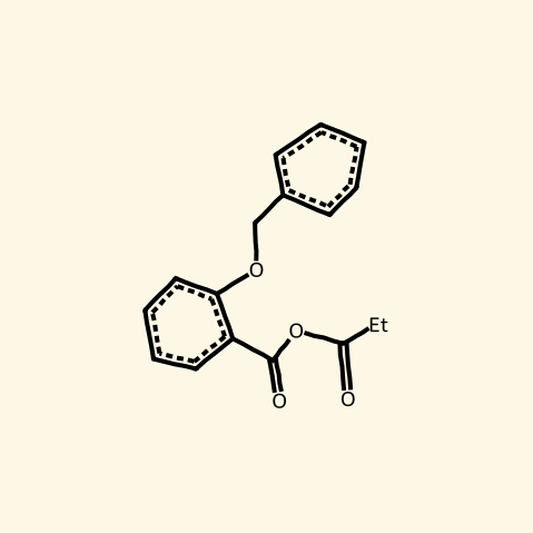 CCC(=O)OC(=O)c1ccccc1OCc1ccccc1